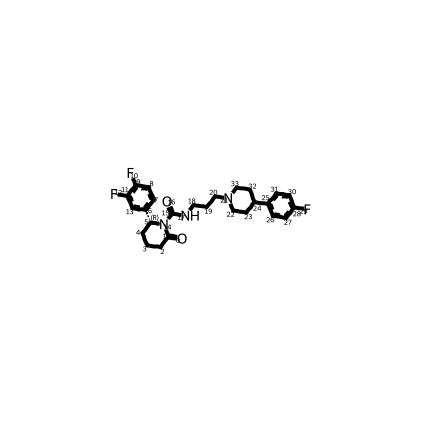 O=C1CCC[C@H](c2ccc(F)c(F)c2)N1C(=O)NCCCN1CCC(c2ccc(F)cc2)CC1